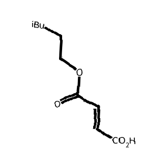 CCC(C)CCOC(=O)C=CC(=O)O